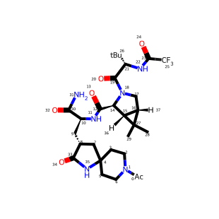 CC(=O)N1CCC2(CC1)C[C@@H](C[C@H](NC(=O)[C@@H]1[C@@H]3[C@H](CN1C(=O)[C@@H](NC(=O)C(F)(F)F)C(C)(C)C)C3(C)C)C(N)=O)C(=O)N2